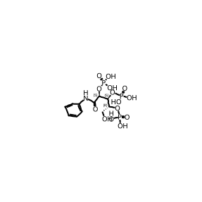 O=C(Nc1ccccc1)[C@@H](OP(=O)(O)O)[C@@H](OP(=O)(O)O)[C@@H](CO)OP(=O)(O)O